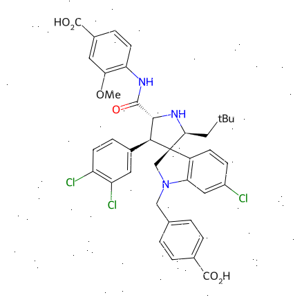 COc1cc(C(=O)O)ccc1NC(=O)[C@@H]1N[C@@H](CC(C)(C)C)[C@@]2(CN(Cc3ccc(C(=O)O)cc3)c3cc(Cl)ccc32)[C@H]1c1ccc(Cl)c(Cl)c1